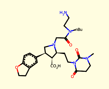 CCCCN(CCN)C(=O)CN1C[C@H](c2ccc3c(c2)CCO3)[C@@H](C(=O)O)[C@@H]1CCN1C(=O)CCN(C)C1=O